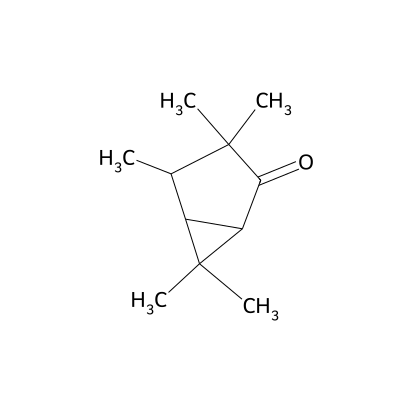 CC1C2C(C(=O)C1(C)C)C2(C)C